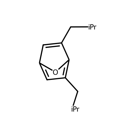 CC(C)Cc1cc2cc(CC(C)C)c1o2